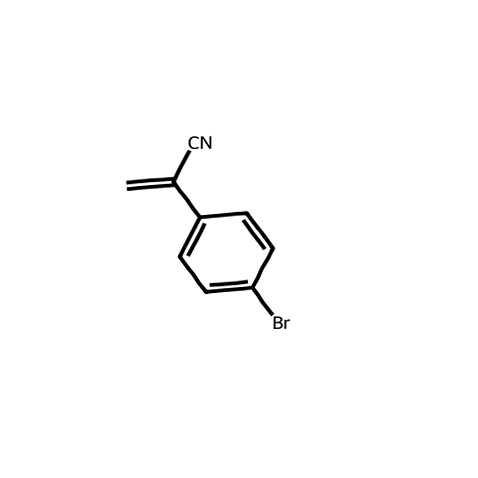 C=C(C#N)c1ccc(Br)cc1